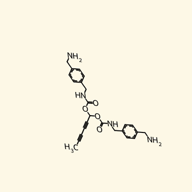 CC#CC#CC(OC(=O)NCc1ccc(CN)cc1)OC(=O)NCc1ccc(CN)cc1